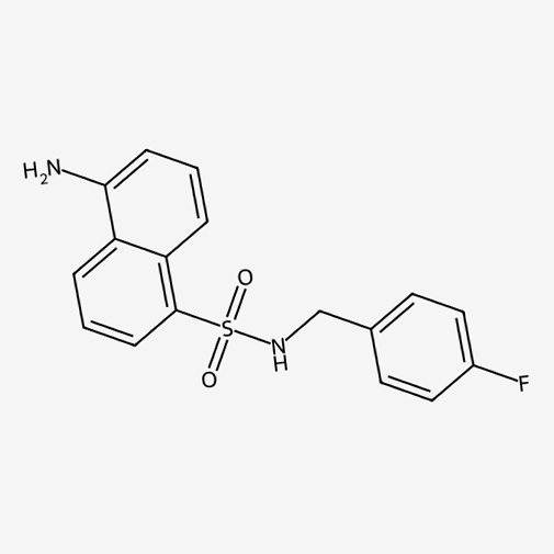 Nc1cccc2c(S(=O)(=O)NCc3ccc(F)cc3)cccc12